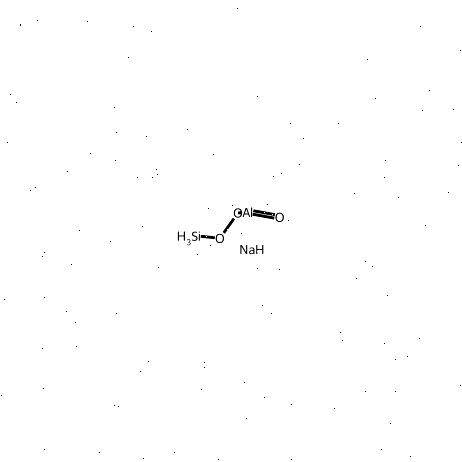 [NaH].[O]=[Al][O]O[SiH3]